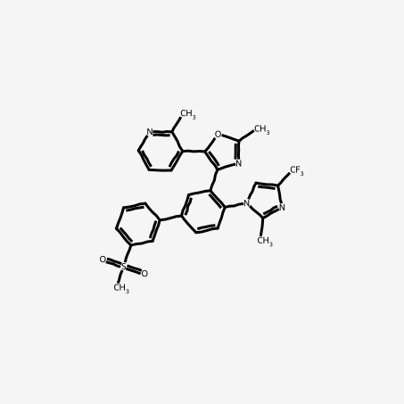 Cc1nc(-c2cc(-c3cccc(S(C)(=O)=O)c3)ccc2-n2cc(C(F)(F)F)nc2C)c(-c2cccnc2C)o1